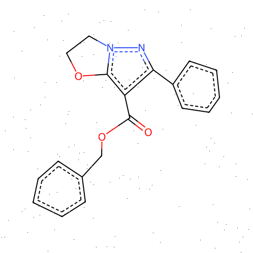 O=C(OCc1ccccc1)c1c(-c2ccccc2)nn2c1OCC2